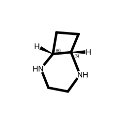 C1CN[C@@H]2CC[C@@H]2N1